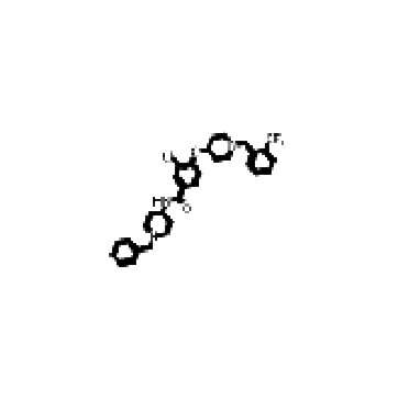 O=C(NC1CCN(Cc2ccccc2)CC1)c1ccc(OC2CCN(Cc3ccccc3C(F)(F)F)CC2)c(Cl)c1